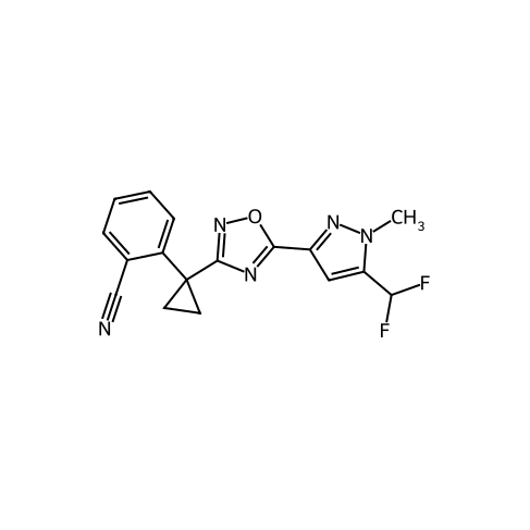 Cn1nc(-c2nc(C3(c4ccccc4C#N)CC3)no2)cc1C(F)F